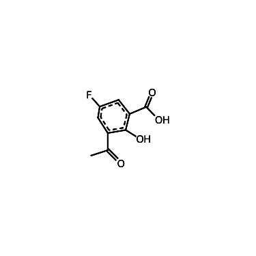 CC(=O)c1cc(F)cc(C(=O)O)c1O